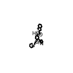 Cn1nccc1-c1cc(NC(=O)c2cc3ccccc3s2)ccc1OCCN1CCCCC1